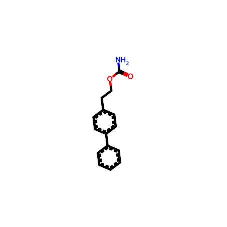 NC(=O)OCCc1ccc(-c2ccccc2)cc1